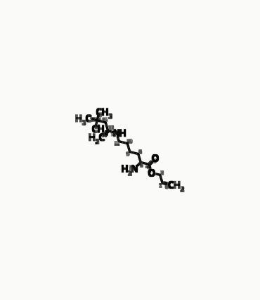 C=CCOC(=O)C(N)CCCCNC(=C)CC(C)(C)C